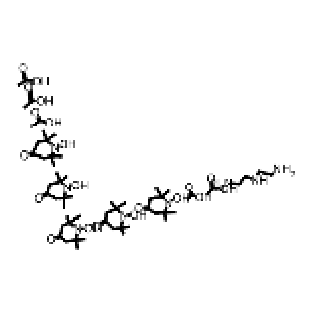 CC(=O)O.CC(=O)O.CC(=O)O.CC(=O)O.CC(=O)O.CC1(C)CC(=O)CC(C)(C)N1O.CC1(C)CC(=O)CC(C)(C)N1O.CC1(C)CC(=O)CC(C)(C)N1O.CC1(C)CC(=O)CC(C)(C)N1O.CC1(C)CC(=O)CC(C)(C)N1O.NCCNCCN